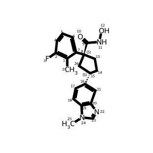 Cc1c(F)cccc1[C@]1(C(=O)NO)CC[C@H](c2ccc3c(c2)ncn3C)C1